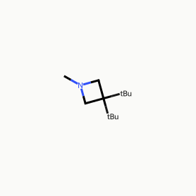 CN1CC(C(C)(C)C)(C(C)(C)C)C1